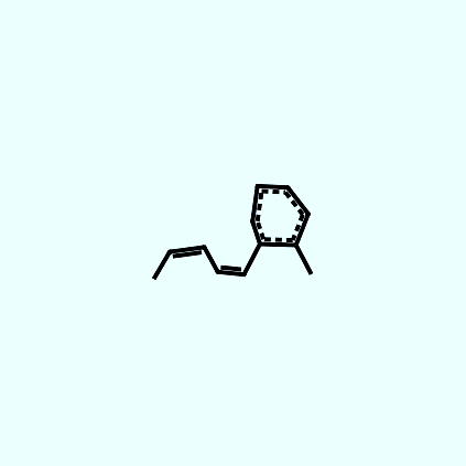 C/C=C\C=C/c1ccccc1C